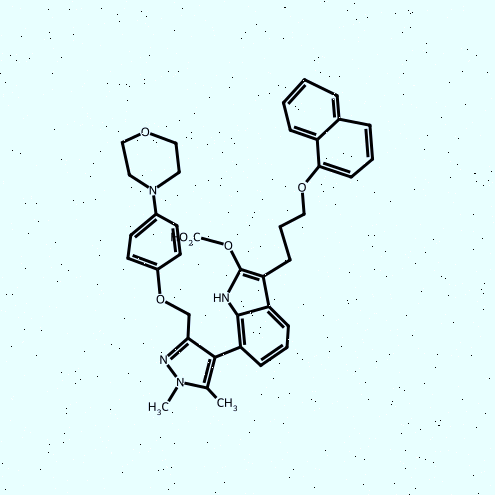 Cc1c(-c2cccc3c(CCCOc4cccc5ccccc45)c(OC(=O)O)[nH]c23)c(COc2ccc(N3CCOCC3)cc2)nn1C